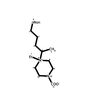 CCCCCCCCCCCCC(C)[N+]1(CC)CCN(C(=O)[O-])CC1